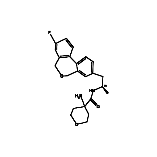 C[C@H](Cc1ccc2c(c1)COCc1cc(F)ccc1-2)NC(=O)C1(N)CCOCC1